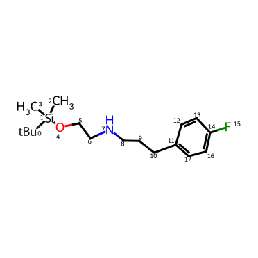 CC(C)(C)[Si](C)(C)OCCNCCCc1ccc(F)cc1